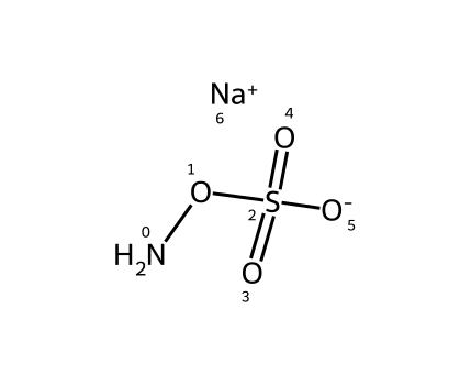 NOS(=O)(=O)[O-].[Na+]